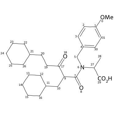 COc1ccc(CN(C(=O)C(CC2CCCCC2)C(=O)CCC2CCCCC2)C(C)C(=O)O)cc1